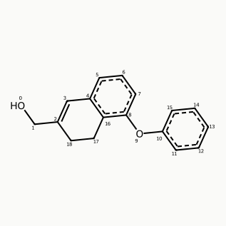 OCC1=Cc2cccc(Oc3ccccc3)c2CC1